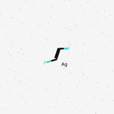 FC=CF.[Ag]